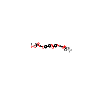 C=C(C)C(=O)OCCCCOc1ccc(C(=O)Oc2ccc(-c3ccc(OCCCOC(=O)C(=C)CO)cc3)cc2)cc1